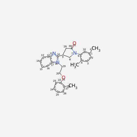 Cc1ccc(C)c(N2CC(c3nc4ccccc4n3CCOc3ccccc3C)CC2=O)c1